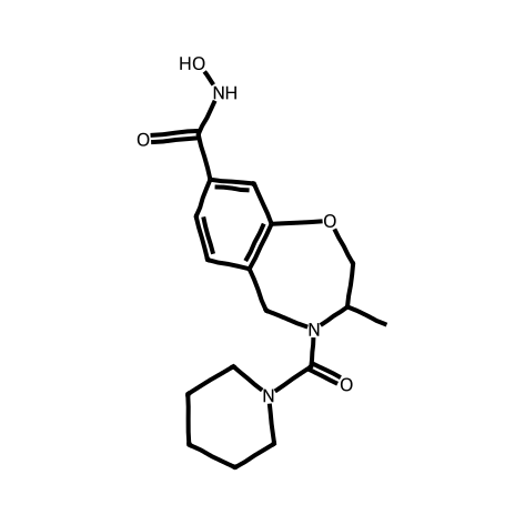 CC1COc2cc(C(=O)NO)ccc2CN1C(=O)N1CCCCC1